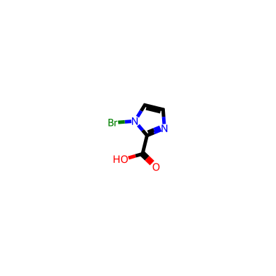 O=C(O)c1nccn1Br